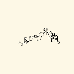 CC(F)(F)c1ccc(Oc2cccc3cc(C(=O)N4CC(NS(C)(=O)=O)C4)ccc23)cc1